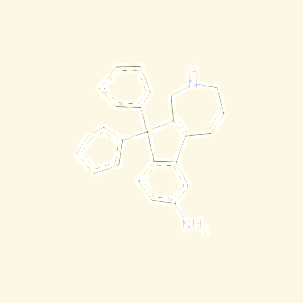 Nc1ccc2c(c1)C1=C(CNCC=C1)C2(c1ccccc1)c1ccccc1